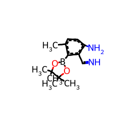 Cc1ccc(N)c(C=N)c1B1OC(C)(C)C(C)(C)O1